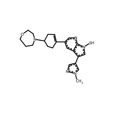 Cn1cc(-c2cn(S)c3ncc(C4=CCC(N5CCCOCC5)CC4)cc23)cn1